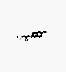 NCC(O)COc1ccc2cc(N)ccc2c1